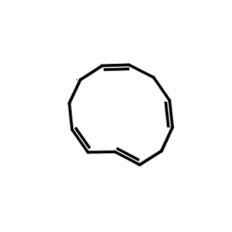 [CH]1/C=C\C/C=C\C/C=C/C=C\C1